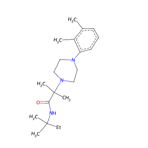 CCC(C)(C)NC(=O)C(C)(C)N1CCN(c2cccc(C)c2C)CC1